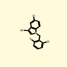 CC(C)c1cn(Cc2c(F)cccc2Cl)c2ccc(Cl)cc12